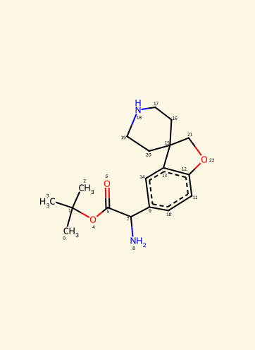 CC(C)(C)OC(=O)C(N)c1ccc2c(c1)C1(CCNCC1)CO2